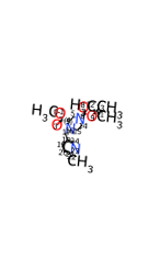 COC(=O)[C@@H]1CN(C(=O)OC(C)(C)C)CCN1Cc1ccc(C)nc1